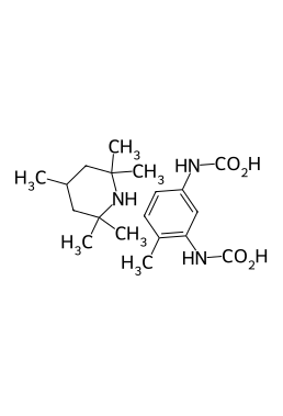 CC1CC(C)(C)NC(C)(C)C1.Cc1ccc(NC(=O)O)cc1NC(=O)O